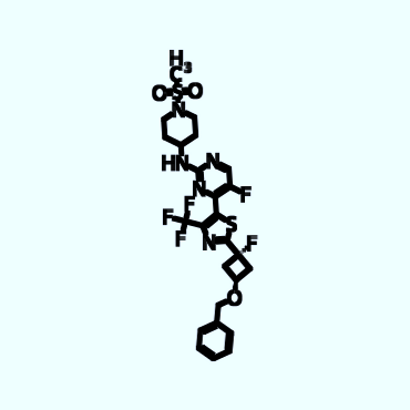 CS(=O)(=O)N1CCC(Nc2ncc(F)c(-c3sc([C@]4(F)C[C@H](OCc5ccccc5)C4)nc3C(F)(F)F)n2)CC1